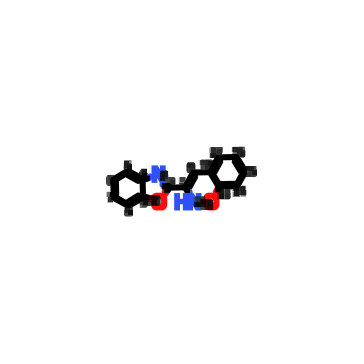 C1=C(c2nc3ccccc3o2)NOc2ccccc21